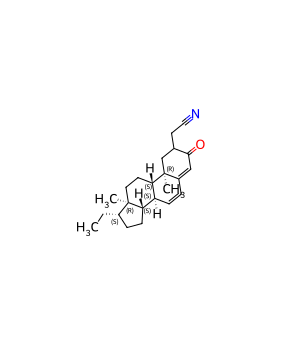 CC[C@H]1CC[C@H]2[C@@H]3C=CC4=CC(=O)C(CC#N)C[C@]4(C)[C@H]3CC[C@]12C